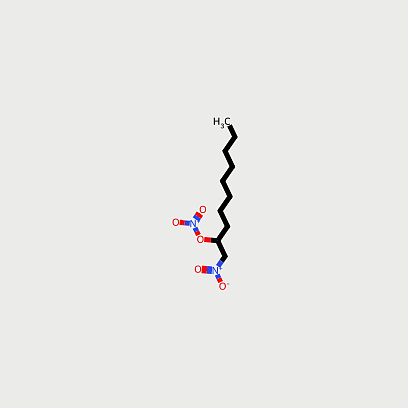 CCCCCCCCC(C[N+](=O)[O-])O[N+](=O)[O-]